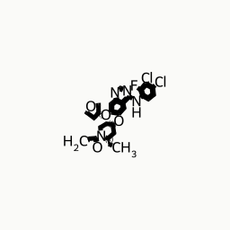 C=CC(=O)N1CC[C@H](Oc2cc3c(Nc4ccc(Cl)c(Cl)c4F)ncnc3cc2O[C@@H]2CCOC2)C[C@H]1CC